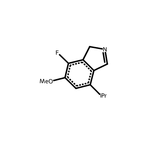 COc1cc(C(C)C)c2c(c1F)CN=C2